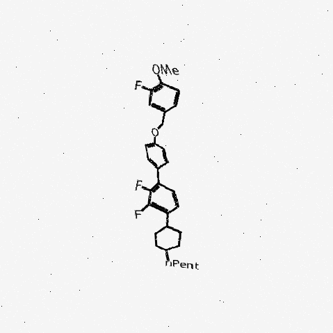 CCCCCC1CCC(c2ccc(-c3ccc(OCc4ccc(OC)c(F)c4)cc3)c(F)c2F)CC1